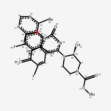 C=C(/C(F)=C\c1c(N2CCN(C(=O)OC(C)(C)C)C[C@@H]2C)nc(=O)n(-c2c(C(C)CC)ncnc2C(C)CC)c1NO)c1c(O)cccc1F